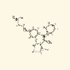 Cc1ccccc1C(=O)N(c1ccccc1)c1ccc(OCCN(C)C)cc1